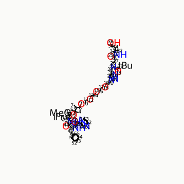 COB(OC(C)(C)C(C)COCCOCCOCCOCCn1cc(CN(CCC(=O)NC(C)(C)CCO)C(=O)C(C)(C)C)nn1)[C@@H](CC(C)C)NC(=O)[C@@H](Cc1ccccc1)NC(=O)c1cnccn1